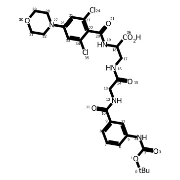 CC(C)(C)OC(=O)Nc1cccc(C(=O)NCC(=O)NCC(NC(=O)c2c(Cl)cc(N3CCOCC3)cc2Cl)C(=O)O)c1